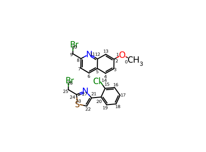 COc1ccc2ccc(CBr)nc2c1.Clc1ccccc1-c1csc(CBr)n1